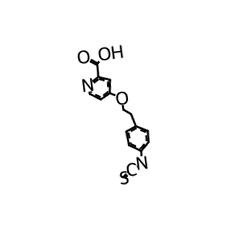 O=C(O)c1cc(OCCc2ccc(N=C=S)cc2)ccn1